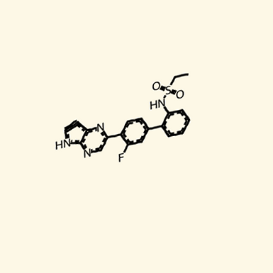 CCS(=O)(=O)Nc1ccccc1-c1ccc(-c2cnc3[nH]c#cc3n2)c(F)c1